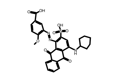 COc1ccc(C(=O)O)cc1N=Nc1c(S(=O)(=O)O)cc(NC2CCCCC2)c2c1C(=O)c1ccccc1C2=O